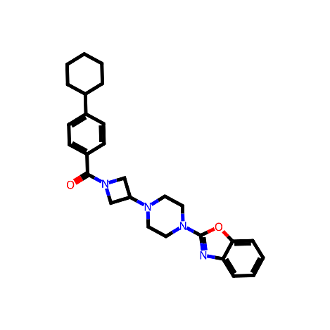 O=C(c1ccc(C2CCCCC2)cc1)N1CC(N2CCN(c3nc4ccccc4o3)CC2)C1